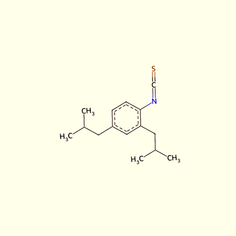 CC(C)Cc1ccc(N=C=S)c(CC(C)C)c1